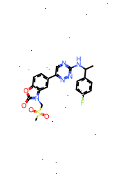 CC(Nc1ncc(-c2ccc3oc(=O)n(CS(C)(=O)=O)c3c2)nn1)c1ccc(F)cc1